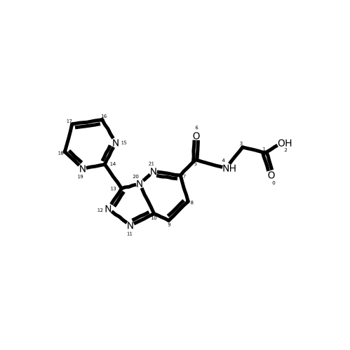 O=C(O)CNC(=O)c1ccc2nnc(-c3ncccn3)n2n1